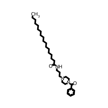 CCCCCCCCCCCCCCCCCC(=O)NCCCN1CCN(C(=O)c2ccccc2)CC1